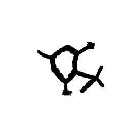 Cc1cc(Br)c(C(C)(C)C)c(Br)c1